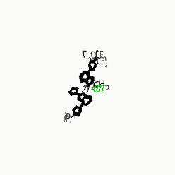 CC1=Cc2c(-c3ccc(C(C(F)(F)F)(C(F)(F)F)C(F)(F)F)cc3)cccc2[CH]1[Zr+2][CH]1C(C2CCCC2)=Cc2c(-c3ccc(C(C)C)cc3)cccc21.[Cl-].[Cl-]